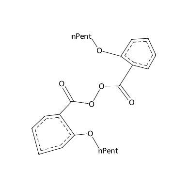 CCCCCOc1ccccc1C(=O)OOC(=O)c1ccccc1OCCCCC